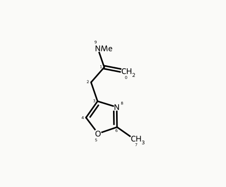 C=C(Cc1coc(C)n1)NC